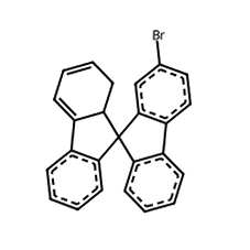 Brc1ccc2c(c1)C1(c3ccccc3C3=CC=CCC31)c1ccccc1-2